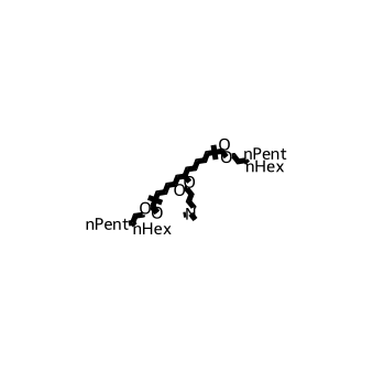 CCCCCCC(CCCCC)CCOC(=O)C(C)(C)CCCCCC(CCCCCC(C)(C)C(=O)OCCC(CCCCC)CCCCCC)OC(=O)CCCN(C)C